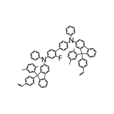 C=Cc1ccc(C2(c3cc(C)ccc3C)c3ccccc3-c3ccc(N(c4ccccc4)c4ccc(-c5ccc(N(c6ccccc6)c6ccc7c(c6)C(c6ccc(C=C)cc6)(c6cc(C)ccc6C)c6ccccc6-7)cc5F)cc4)cc32)cc1